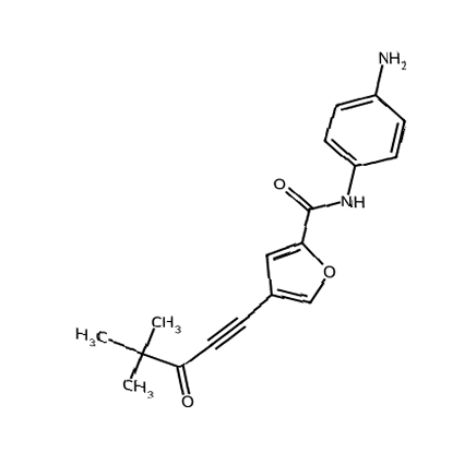 CC(C)(C)C(=O)C#Cc1coc(C(=O)Nc2ccc(N)cc2)c1